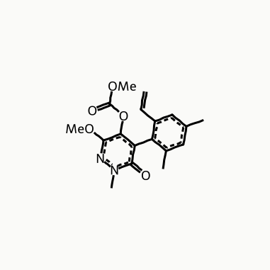 C=Cc1cc(C)cc(C)c1-c1c(OC(=O)OC)c(OC)nn(C)c1=O